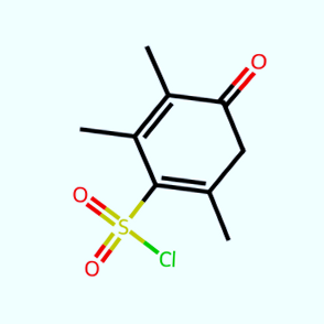 CC1=C(S(=O)(=O)Cl)C(C)=C(C)C(=O)C1